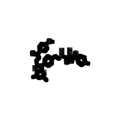 COc1ccc(C(=O)CCc2nc3c(C)cc(C)nc3n2-c2ccc(CCNC(=O)NS(=O)(=O)c3ccc(C)cc3)cc2)cc1